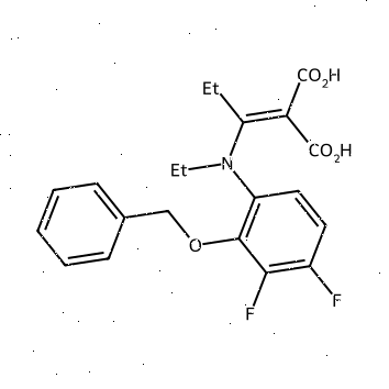 CCC(=C(C(=O)O)C(=O)O)N(CC)c1ccc(F)c(F)c1OCc1ccccc1